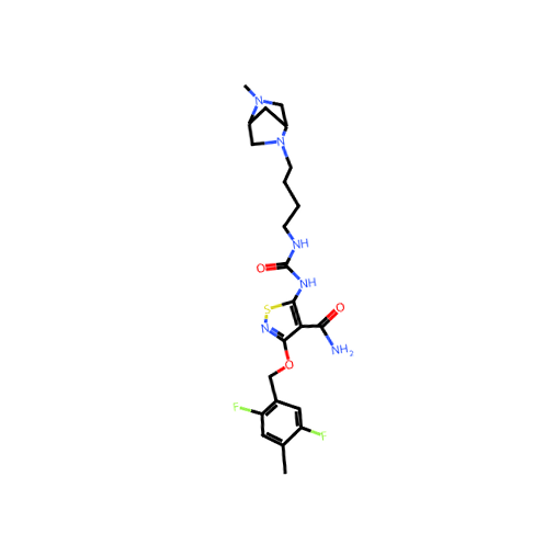 Cc1cc(F)c(COc2nsc(NC(=O)NCCCCN3CC4CC3CN4C)c2C(N)=O)cc1F